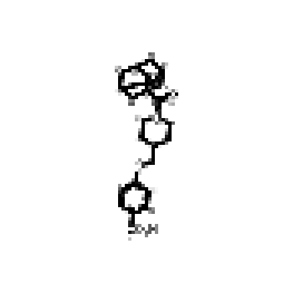 O=C(O)c1ccc(OCC2CCN(C(=O)C34CC5CC(CC(C5)C3)C4)CC2)cc1